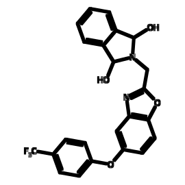 OC1c2ccccc2C(O)N1Cc1nc2cc(Oc3ccc(C(F)(F)F)cc3)ccc2o1